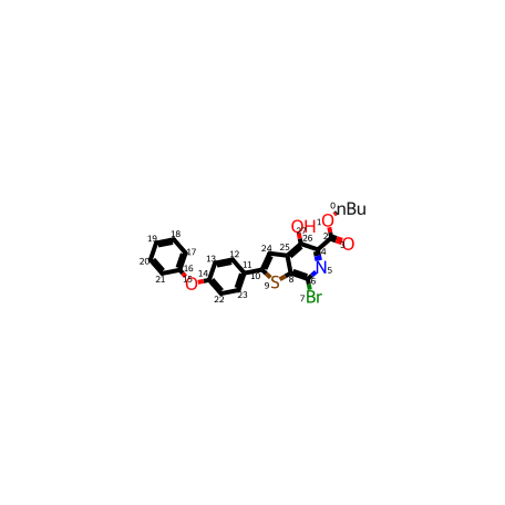 CCCCOC(=O)c1nc(Br)c2sc(-c3ccc(Oc4ccccc4)cc3)cc2c1O